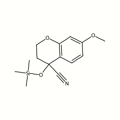 COc1ccc2c(c1)OCCC2(C#N)O[Si](C)(C)C